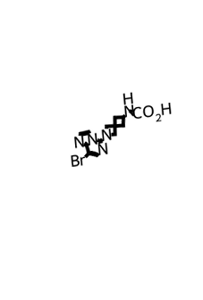 O=C(O)NC1CC2(C1)CN(c1ncc(Br)c3nccn13)C2